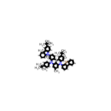 Cc1cc2c3c(c1)N(c1cccc4c1sc1ccccc14)c1ccc(C(C)(C)C)cc1B3c1ccc(N3c4ccc(C(C)(C)C)cc4C4(C)CCCCC34C)cc1N2c1ccc(C(C)(C)C)cc1